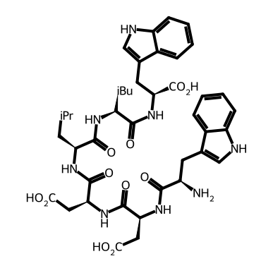 CC[C@H](C)[C@H](NC(=O)[C@H](CC(C)C)NC(=O)[C@H](CC(=O)O)NC(=O)[C@H](CC(=O)O)NC(=O)[C@H](N)Cc1c[nH]c2ccccc12)C(=O)N[C@@H](Cc1c[nH]c2ccccc12)C(=O)O